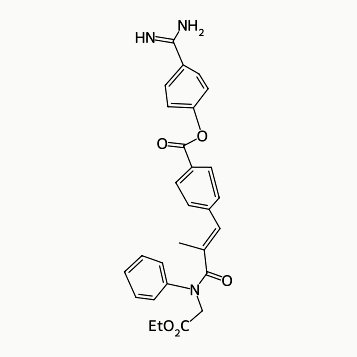 CCOC(=O)CN(C(=O)/C(C)=C/c1ccc(C(=O)Oc2ccc(C(=N)N)cc2)cc1)c1ccccc1